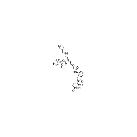 CC(C)(C)OC(=O)N(CCNCCCN)CCOCC(=O)Nc1cccc2c1CN(C1CCC(=O)NC1=O)C2=O